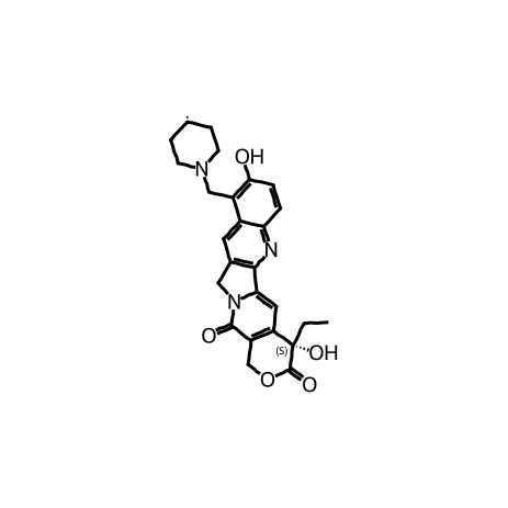 CC[C@@]1(O)C(=O)OCc2c1cc1n(c2=O)Cc2cc3c(CN4CC[CH]CC4)c(O)ccc3nc2-1